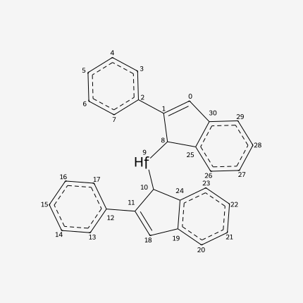 C1=C(c2ccccc2)[CH]([Hf][CH]2C(c3ccccc3)=Cc3ccccc32)c2ccccc21